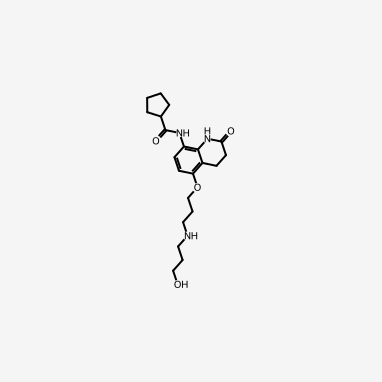 O=C1CCc2c(OCCCNCCCO)ccc(NC(=O)C3CCCC3)c2N1